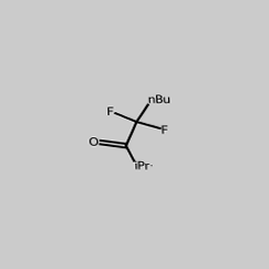 CCCCC(F)(F)C(=O)[C](C)C